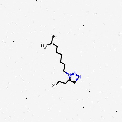 CC(C)CCc1cnnn1CCCCCCC(C)C(C)C